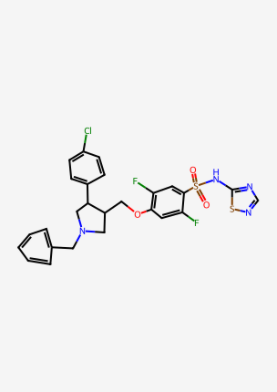 O=S(=O)(Nc1ncns1)c1cc(F)c(OCC2CN(Cc3ccccc3)CC2c2ccc(Cl)cc2)cc1F